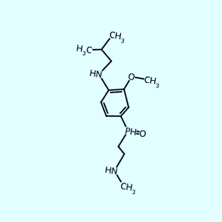 CNCC[PH](=O)c1ccc(NCC(C)C)c(OC)c1